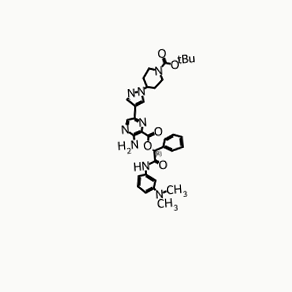 CN(C)c1cccc(NC(=O)[C@H](OC(=O)c2nc(-c3cnn(C4CCN(C(=O)OC(C)(C)C)CC4)c3)cnc2N)c2ccccc2)c1